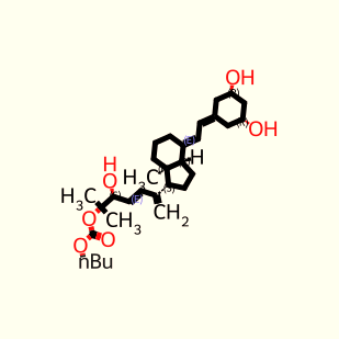 C=C(/C=C/[C@H](O)C(C)(C)OC(=O)OCCCC)[C@H]1CC[C@H]2/C(=C/C=C3C[C@@H](O)C[C@H](O)C3)CCC[C@]12C